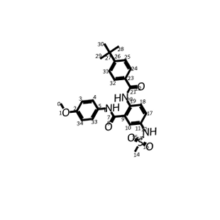 COc1ccc(NC(=O)c2cc(NS(C)(=O)=O)ccc2NC(=O)c2ccc(C(C)(C)C)cc2)cc1